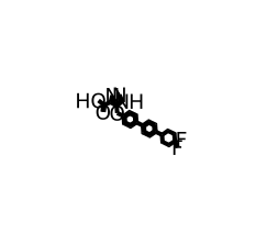 O=C(O)c1nn[nH]c1Oc1ccc(-c2ccc(C3CCC(F)(F)CC3)cc2)cc1